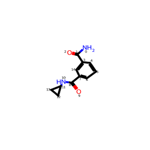 NC(=O)c1cccc(C(=O)NC2CC2)c1